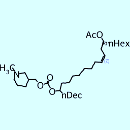 CCCCCCCCCCC(CCCCCCC/C=C\C[C@@H](CCCCCC)OC(C)=O)OC(=O)OCC1CCCN(C)C1